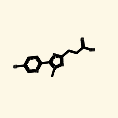 Cn1nc(CCC(=O)O)nc1-c1ccc(Cl)cn1